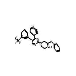 FC(F)(F)c1cccc(-c2cnc(N3CCNC(Cc4ccccc4)C3)nc2-c2ccncc2)c1